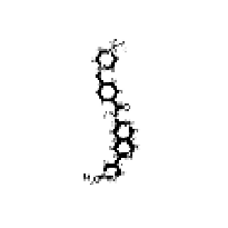 CN1CCN(CC2CCC(C(=O)Nc3cc4cc(-c5cnn(C)c5)ncc4cn3)CC2)CC1